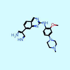 COc1cc(N2CCN(C)CC2)ccc1Nc1ncc2ccc(/C(C=N)=C/N)cc2n1